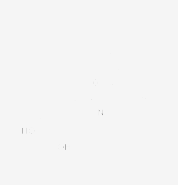 O=C1c2ccc(O)c(O)c2CN1C[C@H]1CCc2ccccc2C1